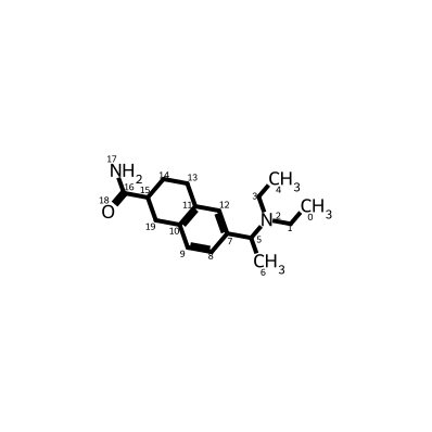 CCN(CC)C(C)c1ccc2c(c1)CCC(C(N)=O)C2